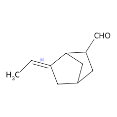 C/C=C1\CC2CC(C=O)C1C2